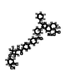 COC(=O)N1c2ccc3c(nc(Cc4ccccc4)n3[C@@H]3CCC[C@@H](C(=O)N4CCN(c5ncc(C(=O)NC6C(C)(C)C(Oc7ccc(C#N)c(Cl)c7)C6(C)C)cn5)CC4)C3)c2CC[C@@H]1C